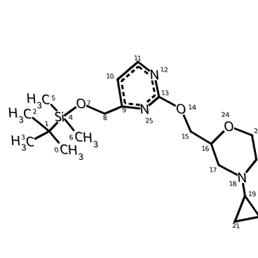 CC(C)(C)[Si](C)(C)OCc1ccnc(OCC2CN(C3CC3)CCO2)n1